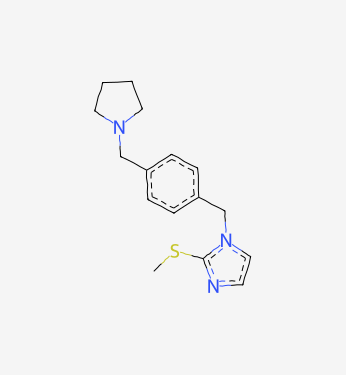 CSc1nccn1Cc1ccc(CN2CCCC2)cc1